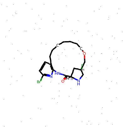 O=C1Nc2nc(Br)ccc2CCCCCCCOC[C@]2(F)CN[C@H]1C2